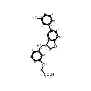 O=C(O)COc1cccc(NC2COc3ccc(-c4cccc(F)c4)cc32)c1